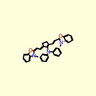 CN1C(=CC=C2CCC(C=Cc3oc4ccccc4[n+]3C)=C2N(c2ccccc2)c2ccccc2)Oc2ccccc21